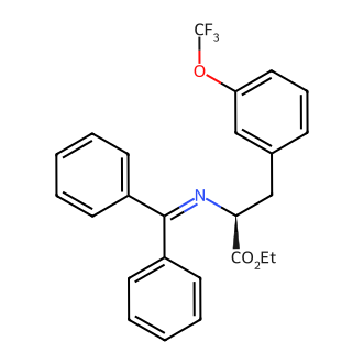 CCOC(=O)[C@H](Cc1cccc(OC(F)(F)F)c1)N=C(c1ccccc1)c1ccccc1